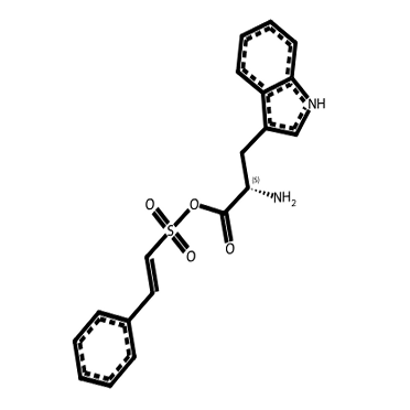 N[C@@H](Cc1c[nH]c2ccccc12)C(=O)OS(=O)(=O)C=Cc1ccccc1